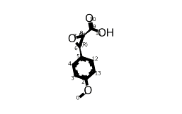 COc1ccc([C@H]2O[C@H]2C(=O)O)cc1